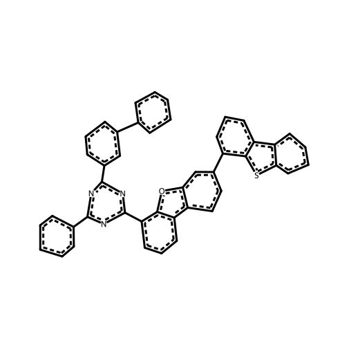 c1ccc(-c2cccc(-c3nc(-c4ccccc4)nc(-c4cccc5c4oc4cc(-c6cccc7c6sc6ccccc67)ccc45)n3)c2)cc1